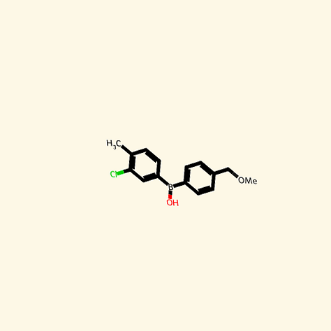 COCc1ccc(B(O)c2ccc(C)c(Cl)c2)cc1